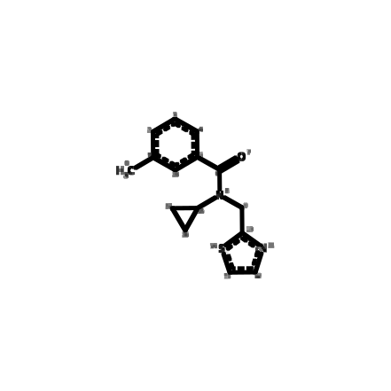 Cc1cccc(C(=O)N(Cc2nccs2)C2CC2)c1